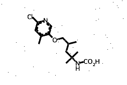 Cc1cc(Cl)ncc1OCC(C)CC(C)(C)NC(=O)O